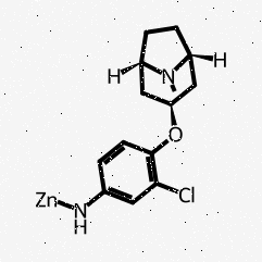 CN1[C@@H]2CC[C@H]1C[C@H](Oc1ccc([NH][Zn])cc1Cl)C2